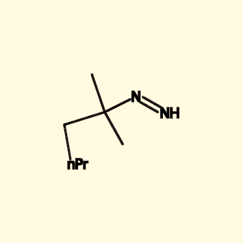 CCCCC(C)(C)N=N